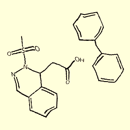 CS(=O)(=O)N1N=Cc2ccccc2C1CC(=O)O.c1ccc(-c2ccccc2)cc1